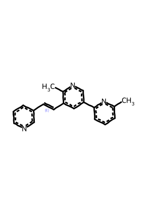 Cc1cccc(-c2cnc(C)c(/C=C/c3cccnc3)c2)n1